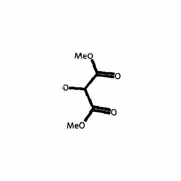 COC(=O)C([O])C(=O)OC